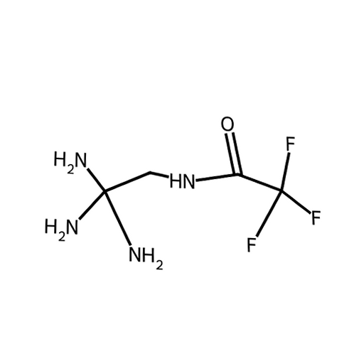 NC(N)(N)CNC(=O)C(F)(F)F